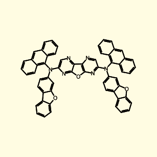 c1ccc2c(N(c3ccc4c(c3)oc3ccccc34)c3cnc4c(n3)oc3nc(N(c5ccc6c(c5)oc5ccccc56)c5c6ccccc6cc6ccccc56)cnc34)c3ccccc3cc2c1